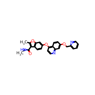 CNC(=O)c1c(C)oc2cc(Oc3ccnc4cc(OCc5ccccn5)ccc34)ccc12